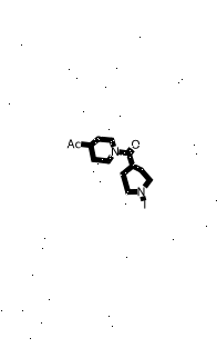 CC(=O)C1CCN(C(=O)C2CCN(I)CC2)CC1